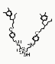 CCCCC(CCCOc1ccc(CNCCCP(=O)(O)OC(=O)CCNCc2ccc(OCCCC(CCC)Cc3ccc(C)c(C)c3)cc2)cc1)Cc1ccc(C)c(C)c1